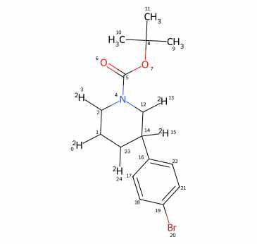 [2H]C1C([2H])N(C(=O)OC(C)(C)C)C([2H])C([2H])(c2ccc(Br)cc2)C1[2H]